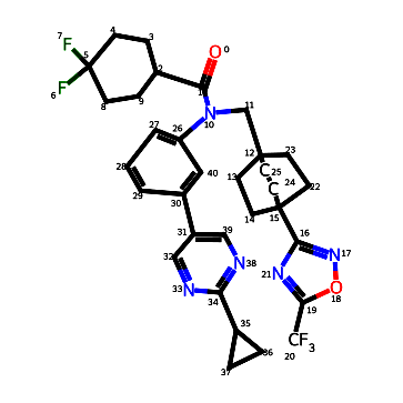 O=C(C1CCC(F)(F)CC1)N(CC12CCC(c3noc(C(F)(F)F)n3)(CC1)CC2)c1cccc(-c2cnc(C3CC3)nc2)c1